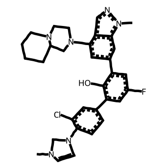 CN1C=CN(c2ccc(-c3cc(F)cc(-c4cc(N5CCN6CCCCC6C5)c5cnn(C)c5c4)c3O)cc2Cl)C1